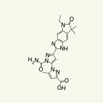 CCN1C(=O)C(C)(C)c2cc3[nH]c(-c4[c]c(-n5nc(C(=O)O)cc5C)n(C(N)=O)n4)nc3cc21